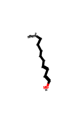 CCCCCCCCCCC=CC=CO